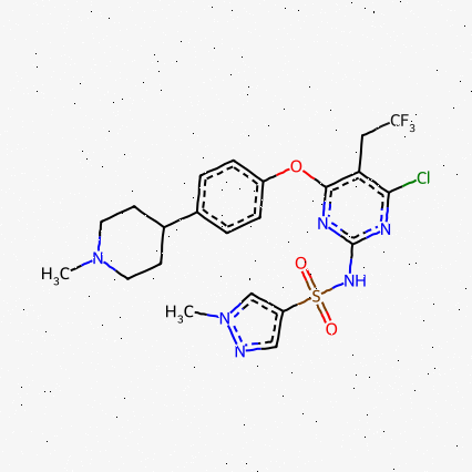 CN1CCC(c2ccc(Oc3nc(NS(=O)(=O)c4cnn(C)c4)nc(Cl)c3CC(F)(F)F)cc2)CC1